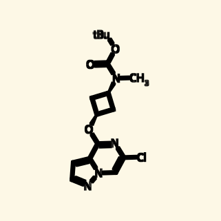 CN(C(=O)OC(C)(C)C)[C@H]1C[C@@H](Oc2nc(Cl)cn3nccc23)C1